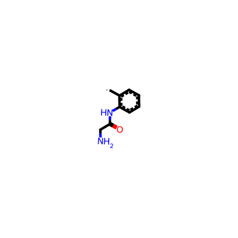 [CH2]c1ccccc1NC(=O)CN